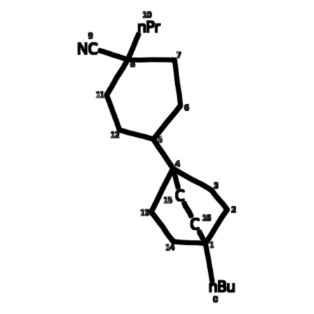 CCCCC12CCC(C3CCC(C#N)(CCC)CC3)(CC1)CC2